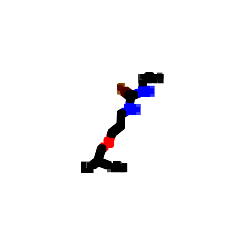 CCCCCCCCNC(=S)NCCCOCC(CC)CCCC